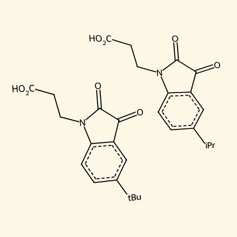 CC(C)(C)c1ccc2c(c1)C(=O)C(=O)N2CCC(=O)O.CC(C)c1ccc2c(c1)C(=O)C(=O)N2CCC(=O)O